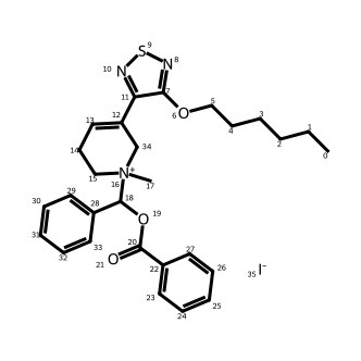 CCCCCCOc1nsnc1C1=CCC[N+](C)(C(OC(=O)c2ccccc2)c2ccccc2)C1.[I-]